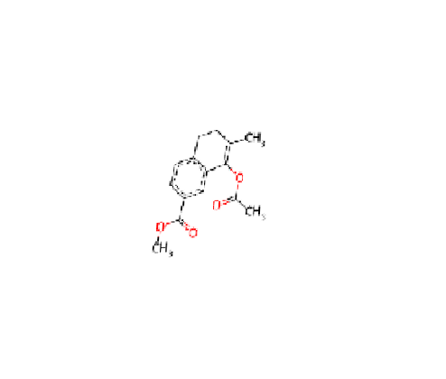 COC(=O)c1ccc2c(c1)C(OC(C)=O)=C(C)CC2